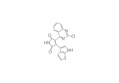 O=C1NC(=O)C(c2c[nH]c3sccc23)=C1c1nc(Cl)nc2ccccc12